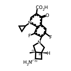 C[C@@]12CN(c3c(F)cc4c(=O)c(C(=O)O)cn(C5CC5)c4c3F)C[C@@H]1C[C@@H]2N